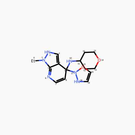 CCN1NC=C2C1=NC=CC2(NC1CCOCC1)N1NC=CO1